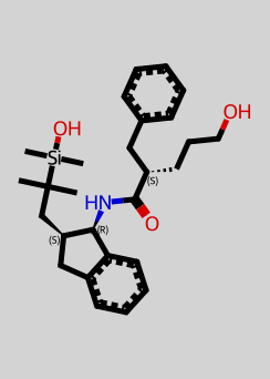 CC(C)(C[C@@H]1Cc2ccccc2[C@@H]1NC(=O)[C@@H](CCCO)Cc1ccccc1)[Si](C)(C)O